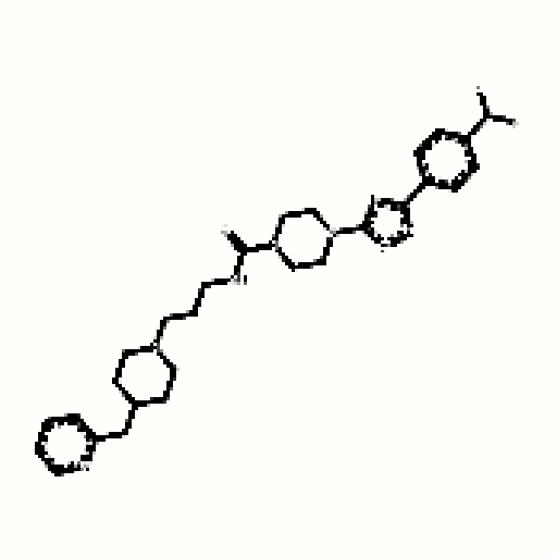 O=C(NCCCN1CCC(Cc2ccccn2)CC1)N1CCN(c2nc(-c3ccc(C(F)F)cc3)no2)CC1